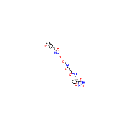 CC(=O)c1ccc(CCC(=O)NCCOCCOCCNC(=O)CCCC(=O)NCCCCC2(c3ccccc3)C(=O)NC(=O)NC2=O)cc1